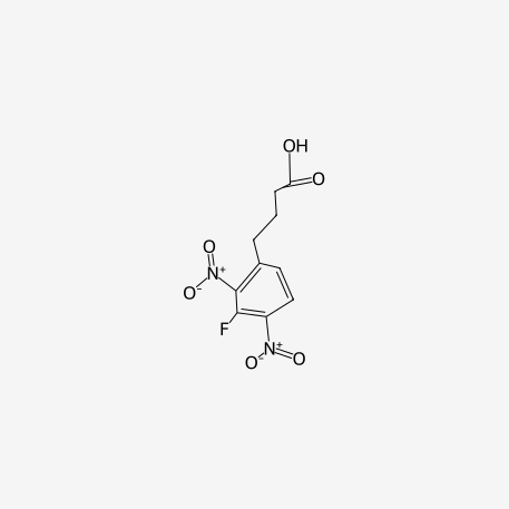 O=C(O)CCCc1ccc([N+](=O)[O-])c(F)c1[N+](=O)[O-]